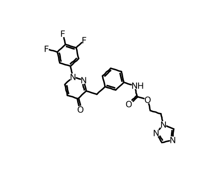 O=C(Nc1cccc(Cc2nn(-c3cc(F)c(F)c(F)c3)ccc2=O)c1)OCCn1cncn1